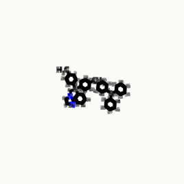 Cc1ccc([Si](Cn2ccnc2)(c2ccccc2)c2ccc(C)cc2)cc1.c1ccc(B(c2ccccc2)c2ccccc2)cc1